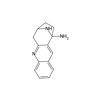 NC12CCC(Cc3nc4ccccc4cc31)N2